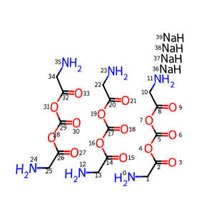 NCC(=O)OC(=O)OC(=O)CN.NCC(=O)OC(=O)OC(=O)CN.NCC(=O)OC(=O)OC(=O)CN.[NaH].[NaH].[NaH].[NaH]